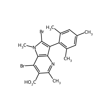 Cc1cc(C)c(-c2c(Br)n(C)c3c(Br)c(C(=O)O)c(C)nc23)c(C)c1